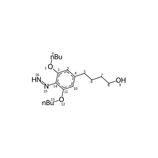 CCCCOc1cc(CCCCO)cc(OCCCC)c1N=N